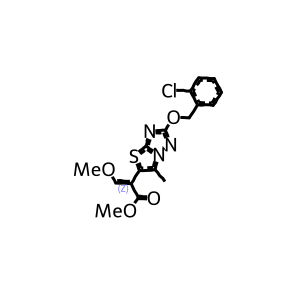 CO/C=C(/C(=O)OC)c1sc2nc(OCc3ccccc3Cl)nn2c1C